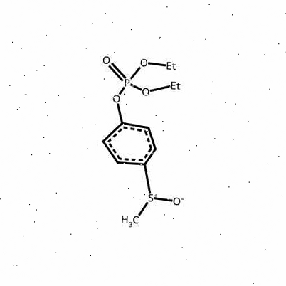 CCOP(=O)(OCC)Oc1ccc([S+](C)[O-])cc1